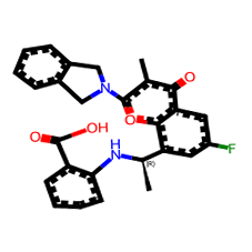 Cc1c(N2Cc3ccccc3C2)oc2c([C@@H](C)Nc3ccccc3C(=O)O)cc(F)cc2c1=O